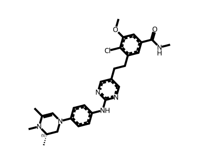 CNC(=O)c1cc(CCc2cnc(Nc3ccc(N4C=C(C)N(C)[C@@H](C)C4)cc3)nc2)c(Cl)c(OC)c1